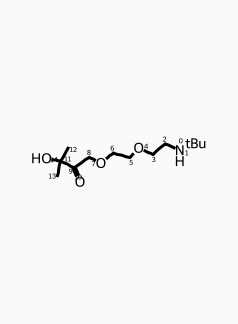 CC(C)(C)NCCOCCOCC(=O)C(C)(C)O